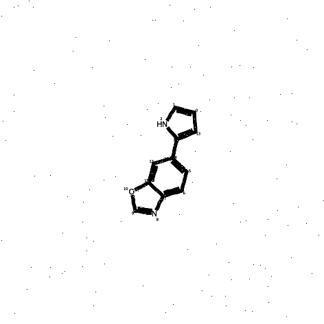 c1c[nH]c(-c2ccc3ncoc3c2)c1